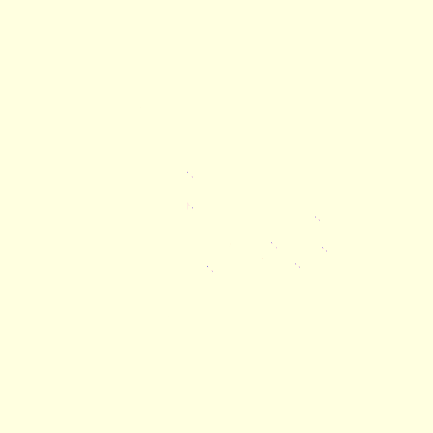 O=C(c1nn(-c2ccccc2Cl)c(-c2ccc(Cl)cc2)c1Cc1nn[nH]n1)N1CCC(c2ccccc2F)CC1